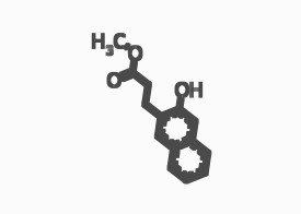 COC(=O)CCc1cc2ccccc2cc1O